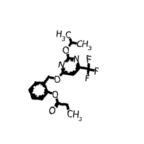 CCC(=O)Oc1ccccc1COc1cc(C(F)(F)F)nc(OC(C)C)n1